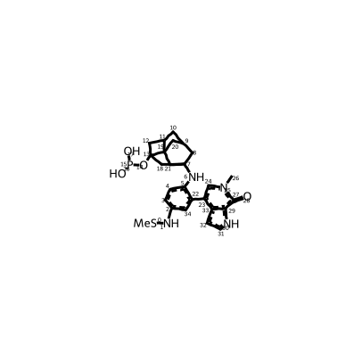 CSNc1ccc(NC23CC4CC5CC(OP(O)O)(C2)C5(C4)C3)c(-c2cn(C)c(=O)c3[nH]ccc23)c1